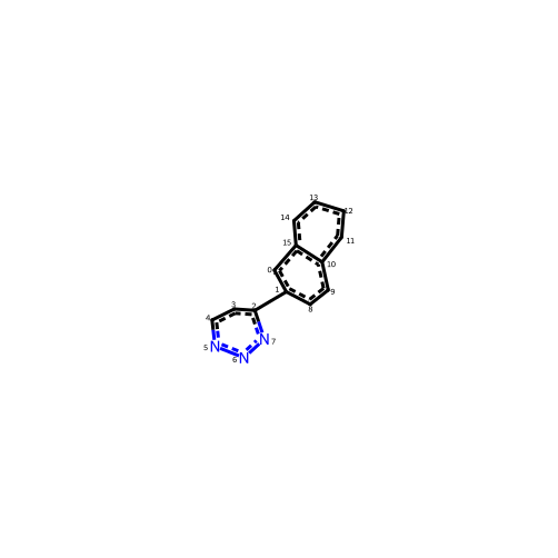 [c]1c(-c2ccnnn2)ccc2ccccc12